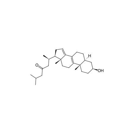 CC(C)CC(=O)C[C@@H](C)[C@H]1CC=C2C3=C(CC[C@@]21C)[C@@]1(C)CC[C@H](O)C[C@@H]1CC3